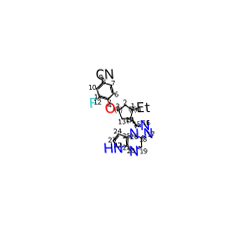 CC[C@@H]1C[C@@H](Oc2ccc(C#N)cc2F)C[C@@H]1c1nnc2cnc3[nH]ccc3n12